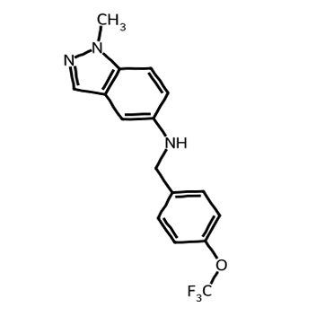 Cn1ncc2cc(NCc3ccc(OC(F)(F)F)cc3)ccc21